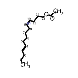 CCCC=CCCCC/C=C\CCCOC(C)=O